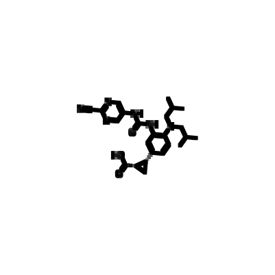 CC(C)CN(CC(C)C)c1ccc([C@@H]2C[C@@H]2C(=O)O)cc1NC(=O)Nc1cnc(C#N)nc1